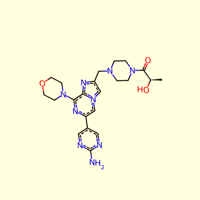 C[C@@H](O)C(=O)N1CCN(Cc2cn3cc(-c4cnc(N)nc4)nc(N4CCOCC4)c3n2)CC1